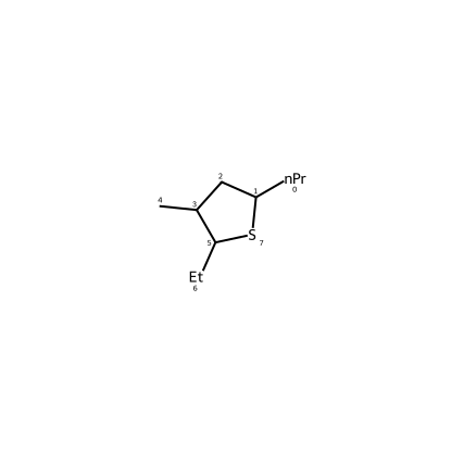 CCCC1CC(C)C(CC)S1